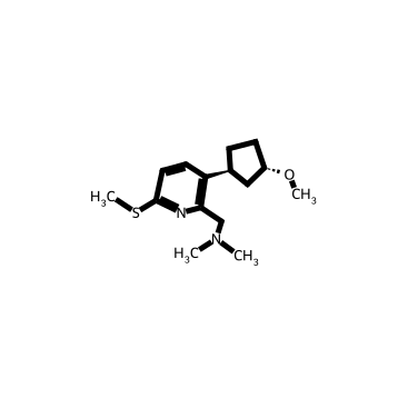 CO[C@H]1CC[C@H](c2ccc(SC)nc2CN(C)C)C1